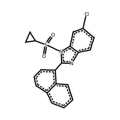 O=S(=O)(C1CC1)n1c(-c2cccc3ccccc23)nc2ccc(Cl)cc21